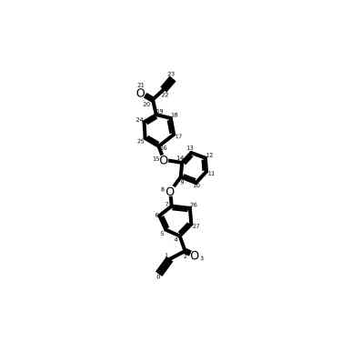 C#CC(=O)c1ccc(Oc2ccccc2Oc2ccc(C(=O)C#C)cc2)cc1